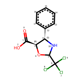 O=C(O)[C@@H]1OC(C(Cl)(Cl)Cl)N[C@H]1c1ccccc1